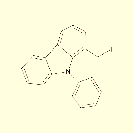 ICc1cccc2c3ccccc3n(-c3ccccc3)c12